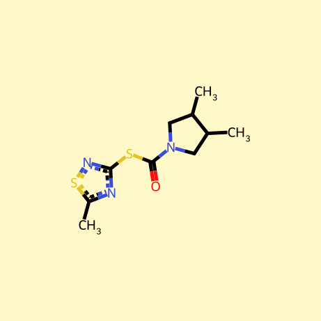 Cc1nc(SC(=O)N2CC(C)C(C)C2)ns1